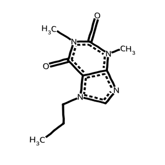 CCCn1cnc2c1c(=O)n(C)c(=O)n2C